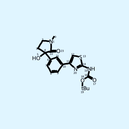 CN1CCC(O)(c2cccc(-c3csc(NC(=O)OC(C)(C)C)n3)c2)C1=O